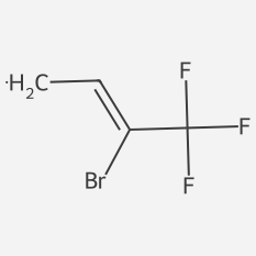 [CH2]C=C(Br)C(F)(F)F